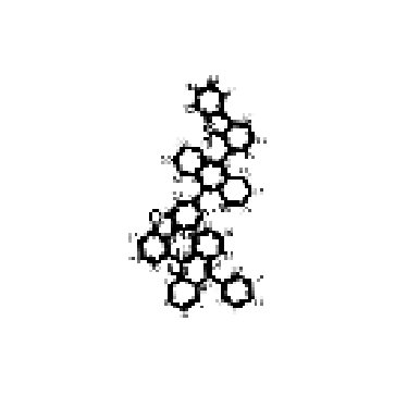 CC12C=CC=CC1C(c1ccccc1)=c1ccccc1=C2c1cccc2oc3cc(-c4c5c(c(-c6cccc7c6sc6ccccc67)c6ccccc46)CCC=C5)ccc3c12